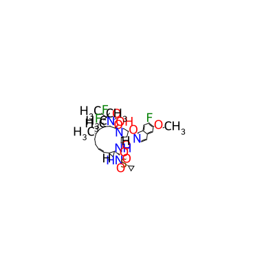 CCOc1cc2ccnc(O[C@@H]3C[C@H]4C(=O)N[C@]5(C(=O)NS(=O)(=O)C6CC6)C[C@H]5C=CCC[C@H](C)C[C@@H](C)[C@H](N(C(=O)O)C(C)(C)C(C)(F)F)C(=O)N4C3)c2cc1F